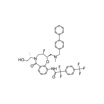 C[C@@H]1CN([C@@H](C)CO)C(=O)c2cccc(NC(=O)C(F)(F)c3ccc(C(F)(F)F)cc3)c2O[C@@H]1CN(C)Cc1ccc(-c2ccccc2)cc1